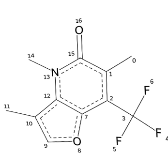 Cc1c(C(F)(F)F)c2occ(C)c2n(C)c1=O